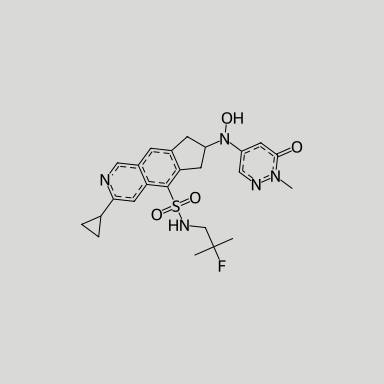 Cn1ncc(N(O)C2Cc3cc4cnc(C5CC5)cc4c(S(=O)(=O)NCC(C)(C)F)c3C2)cc1=O